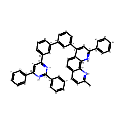 Cc1ccc2ccc3c(-c4cccc(-c5cccc(-c6cc(-c7ccccc7)nc(-c7ccccc7)n6)c5)c4)cc(-c4ccccc4)nc3c2n1